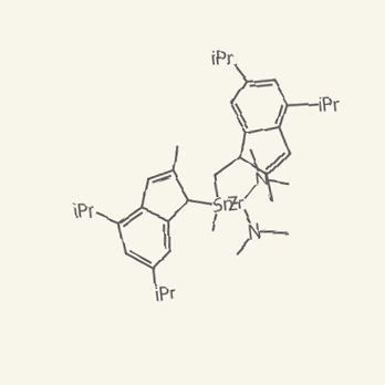 CC1=Cc2c(C(C)C)cc(C(C)C)cc2C1[CH2][Sn]([CH3])([CH]1C(C)=Cc2c(C(C)C)cc(C(C)C)cc21)[Zr]([N](C)C)[N](C)C